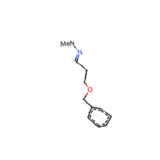 CN/N=C/CCOCc1ccccc1